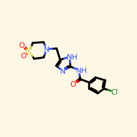 O=C(Nc1ncc(CN2CCS(=O)(=O)CC2)[nH]1)c1ccc(Cl)cc1